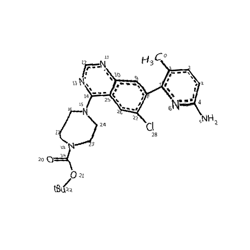 Cc1ccc(N)nc1-c1cc2ncnc(N3CCN(C(=O)OC(C)(C)C)CC3)c2cc1Cl